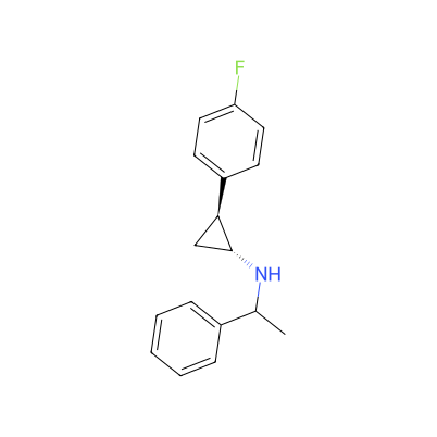 CC(N[C@@H]1C[C@H]1c1ccc(F)cc1)c1ccccc1